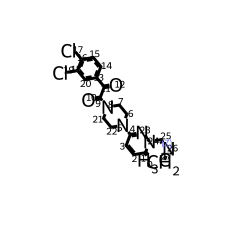 C=C1C=CC(N2CCN(C(=O)C(=O)c3ccc(Cl)c(Cl)c3)CC2)=NN1/C=N\C